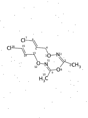 CC(=NOCC=CCl)OC(C)=NOCC=CCl